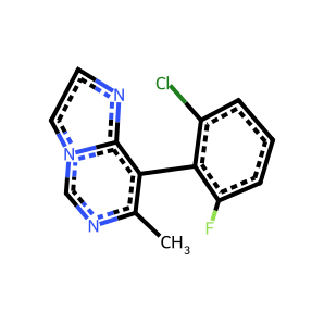 Cc1ncn2ccnc2c1-c1c(F)cccc1Cl